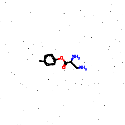 Cc1ccc(OC(=O)[C@@H](N)CN)cc1